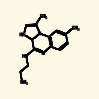 CC1=CNC2C(NCCN)=Nc3ccc(C)cc3N12